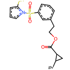 CC(C)C1CC1C(=O)OCCc1cccc(S(=O)(=O)n2cccc2S)c1